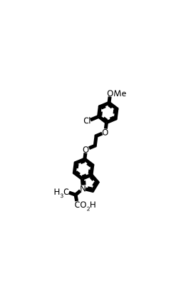 COc1ccc(OCCOc2ccc3c(ccn3C(C)C(=O)O)c2)c(Cl)c1